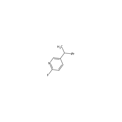 CC(C)C(C)c1ccc(F)nc1